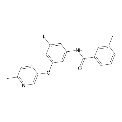 Cc1cccc(C(=O)Nc2cc(I)cc(Oc3ccc(C)nc3)c2)c1